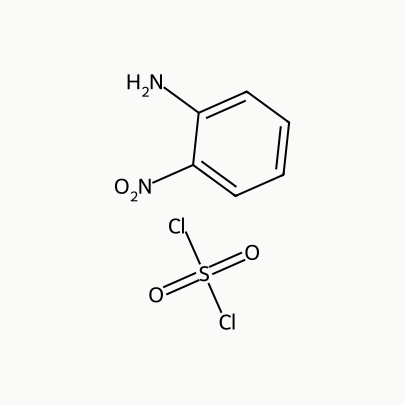 Nc1ccccc1[N+](=O)[O-].O=S(=O)(Cl)Cl